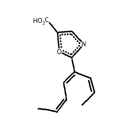 C\C=C/C=C(\C=C/C)c1ncc(C(=O)O)o1